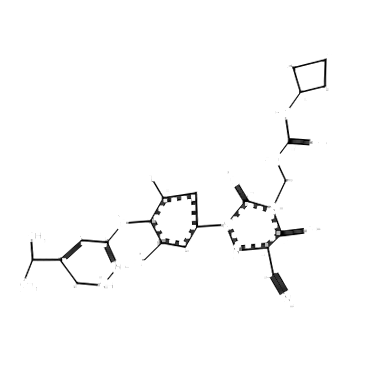 CC(C)C1=CC(Oc2c(Cl)cc(-n3nc(C#N)c(=O)n(COC(=O)OC4CCC4)c3=O)cc2Cl)=NNC1